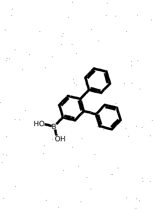 OB(O)c1ccc(-c2ccccc2)c(-c2ccccc2)c1